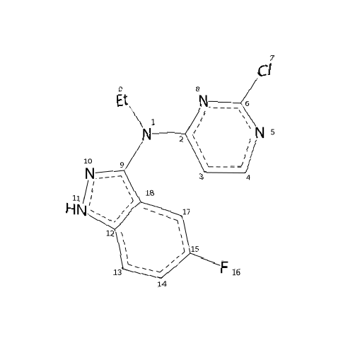 CCN(c1ccnc(Cl)n1)c1n[nH]c2ccc(F)cc12